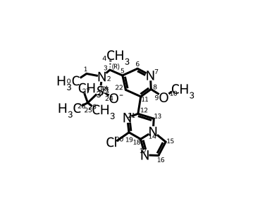 CCN([C@H](C)c1cnc(OC)c(-c2cn3ccnc3c(Cl)n2)c1)[S@@+]([O-])C(C)(C)C